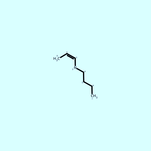 C/C=C\[N]CCCC